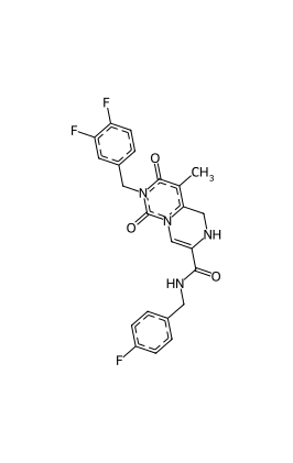 Cc1c2n(c(=O)n(Cc3ccc(F)c(F)c3)c1=O)C=C(C(=O)NCc1ccc(F)cc1)NC2